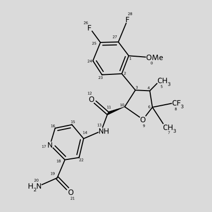 COc1c(C2C(C)C(C)(C(F)(F)F)O[C@H]2C(=O)Nc2ccnc(C(N)=O)c2)ccc(F)c1F